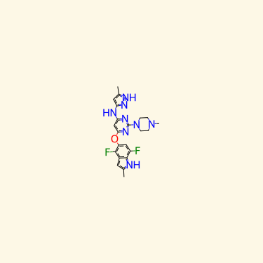 Cc1cc(Nc2cc(Oc3cc(F)c4[nH]c(C)cc4c3F)nc(N3CCN(C)CC3)n2)n[nH]1